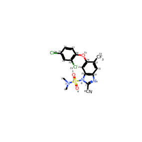 CN(C)S(=O)(=O)n1c(C#N)nc2cc(C(F)(F)F)c(Oc3ccc(Cl)cc3Cl)cc21